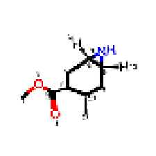 COC(=O)[C@H]1C[C@@H]2N[C@@H]2C[C@H]1C